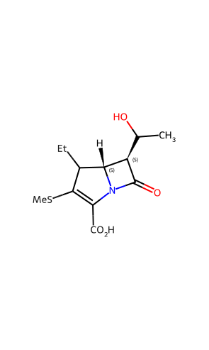 CCC1C(SC)=C(C(=O)O)N2C(=O)[C@H](C(C)O)[C@@H]12